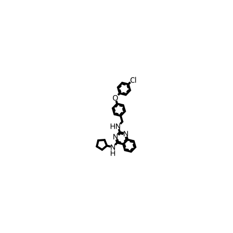 Clc1ccc(Oc2ccc(CNc3nc(NC4CCCC4)c4ccccc4n3)cc2)cc1